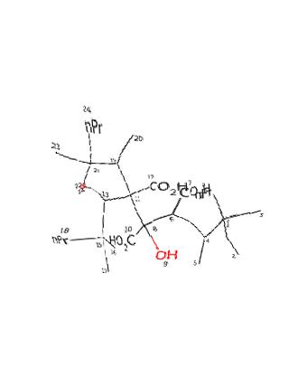 CCCC(C)(C)C(C)C(C(=O)O)C(O)(C(=O)O)C(C(=O)O)(C(C)C(C)(C)CCC)C(C)C(C)(C)CCC